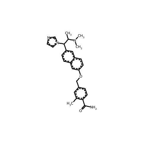 Cc1cc(COc2ccc3cc(C(C(C)N(C)C)n4ccnc4)ccc3c2)ccc1C(N)=O